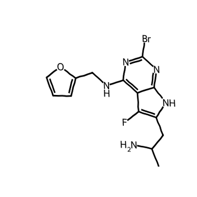 CC(N)Cc1[nH]c2nc(Br)nc(NCc3ccco3)c2c1F